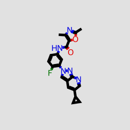 Cc1nc(C)c(C(=O)Nc2ccc(F)c(-n3cc4cc(C5CC5)cnc4n3)c2)o1